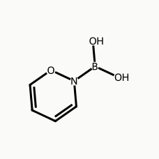 OB(O)N1C=CC=CO1